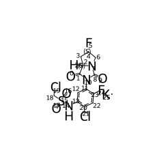 O=C1[C@@H]2C[C@H](F)CN2C(=O)N1c1cc(NS(=O)(=O)CCl)c(Cl)cc1F.[K]